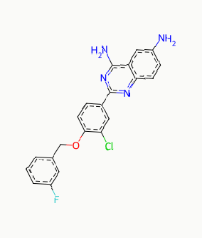 Nc1ccc2nc(-c3ccc(OCc4cccc(F)c4)c(Cl)c3)nc(N)c2c1